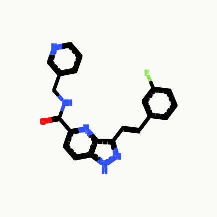 O=C(NCc1cccnc1)c1ccc2[nH]nc(/C=C/c3cccc(F)c3)c2n1